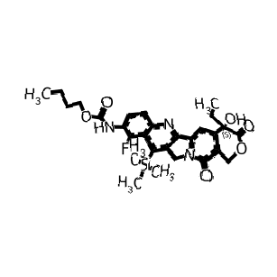 CCCCOC(=O)Nc1ccc2nc3c(c([Si](C)(C)C)c2c1F)Cn1c-3cc2c(c1=O)COC(=O)[C@]2(O)CC